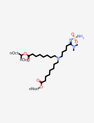 CCCCCCCCCOC(=O)CCCCCCCN(CCCCCCCC(=O)OC(CCCCCCCC)CCCCCCCC)CCCC/C(=N/S(N)(=O)=O)N(C)C